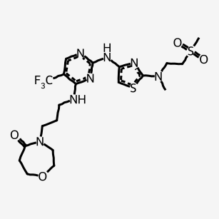 CN(CCS(C)(=O)=O)c1nc(Nc2ncc(C(F)(F)F)c(NCCCN3CCOCCC3=O)n2)cs1